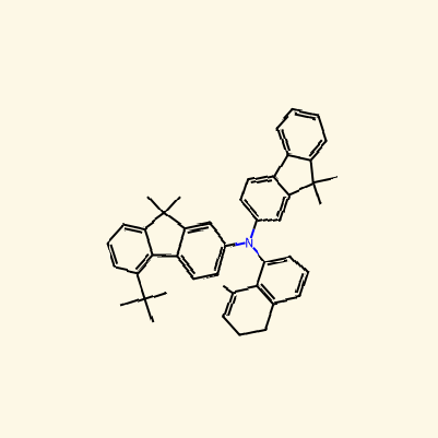 CC1=CCCc2cccc(N(c3ccc4c(c3)C(C)(C)c3ccccc3-4)c3ccc4c(c3)C(C)(C)c3cccc(C(C)(C)C)c3-4)c21